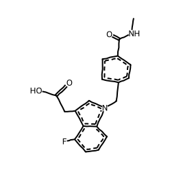 CNC(=O)c1ccc(Cn2cc(CC(=O)O)c3c(F)cccc32)cc1